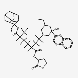 CCC1CC(C(C)(C)C(C)(C)C(C)(C(=O)OC2CCOC2=O)C(C)(C)C(C)(C)C(C)(C(=O)OC2(CC)C3CC4CC(C3)CC2C4)C(C)(C)C)CC(O)(c2ccc3ccccc3c2)C1